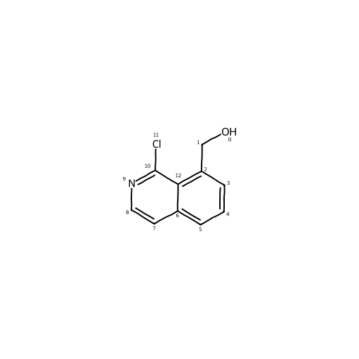 OCc1cccc2ccnc(Cl)c12